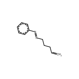 C=CCCCN=Nc1ccccc1